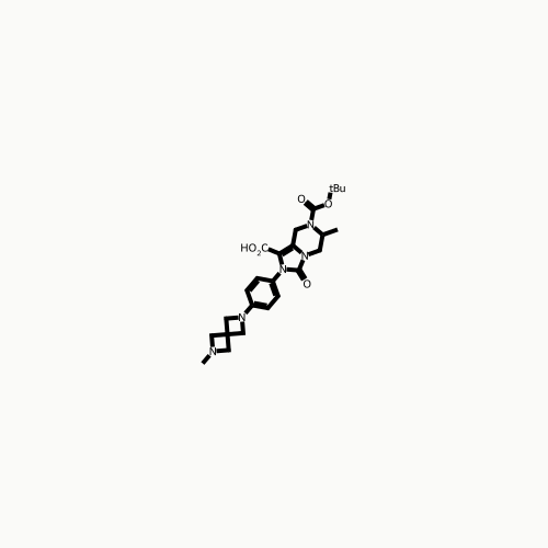 CC1Cn2c(c(C(=O)O)n(-c3ccc(N4CC5(CN(C)C5)C4)cc3)c2=O)CN1C(=O)OC(C)(C)C